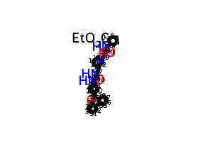 CCOC(=O)[C@@H]1CCCC[C@H]1NC(=O)OC[n+]1cccc(CNC(=O)Nc2ccc(COc3ccccc3-c3ccccc3)cc2)c1